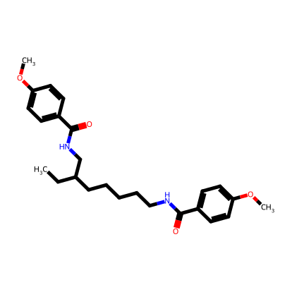 CCC(CCCCCNC(=O)c1ccc(OC)cc1)CNC(=O)c1ccc(OC)cc1